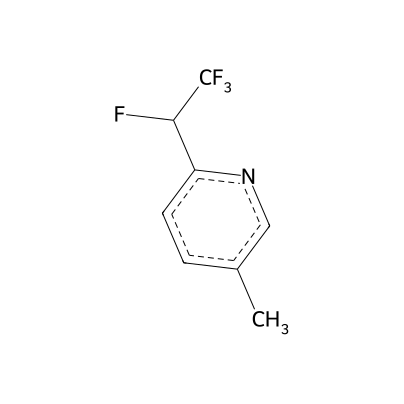 Cc1ccc(C(F)C(F)(F)F)nc1